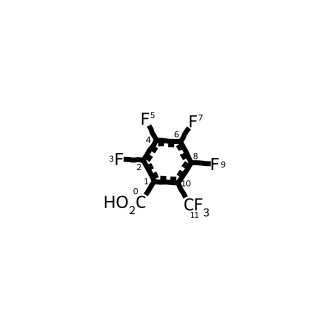 O=C(O)c1c(F)c(F)c(F)c(F)c1C(F)(F)F